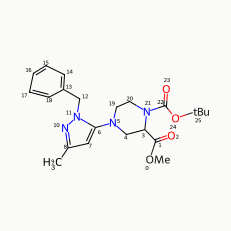 COC(=O)C1CN(c2cc(C)nn2Cc2ccccc2)CCN1C(=O)OC(C)(C)C